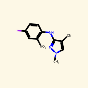 Cn1cc(C#N)c(Nc2ccc(I)cc2[N+](=O)[O-])n1